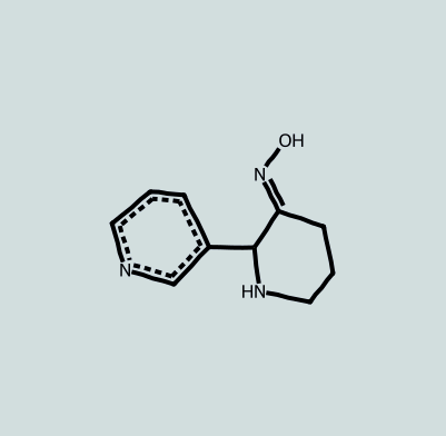 ON=C1CCCNC1c1cccnc1